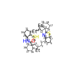 CCC(CCc1cccc2sc(C3(CC(CC)CC)CCCCC3)nc12)CC1(C(=O)Nc2ccccc2S)CCCCC1